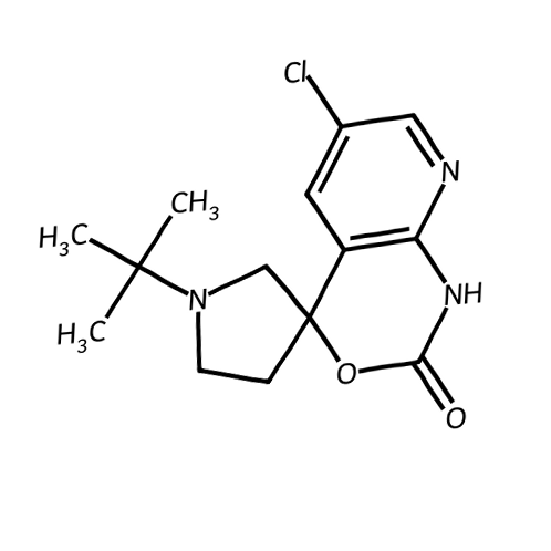 CC(C)(C)N1CCC2(C1)OC(=O)Nc1ncc(Cl)cc12